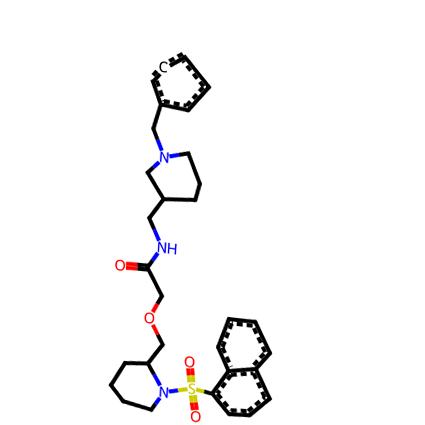 O=C(COCC1CCCCN1S(=O)(=O)c1cccc2ccccc12)NCC1CCCN(Cc2ccccc2)C1